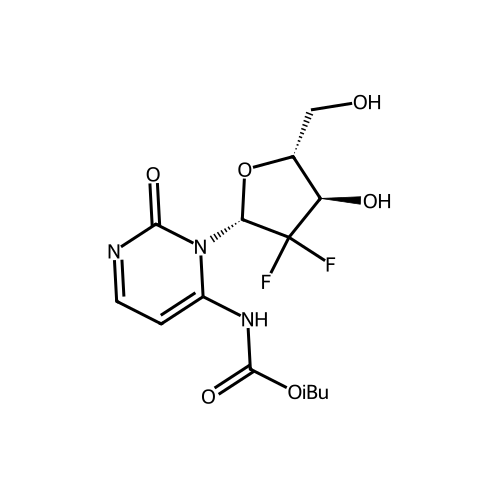 CC(C)COC(=O)Nc1ccnc(=O)n1[C@@H]1O[C@H](CO)[C@@H](O)C1(F)F